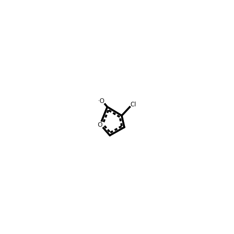 [O]c1occc1Cl